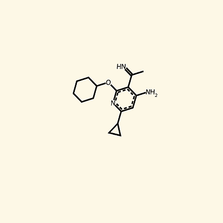 CC(=N)c1c(N)cc(C2CC2)nc1OC1CCCCC1